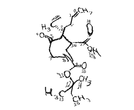 C=CC[C@]1(C)C(=O)CN(C(=O)OC(C)(C)C)[C@@H]1C(=O)O